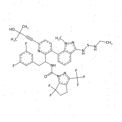 CCNSNc1nn(C)c2c(-c3ccc(C#CC(C)(C)O)nc3C(Cc3cc(F)cc(F)c3)NC(=O)n3nc(C(F)(F)F)c4c3C(F)(F)CC4)cccc12